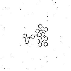 c1ccc(C2(c3ccccc3)c3ccccc3-c3cc(N(c4ccc(-n5c6ccccc6c6ccccc65)cc4)c4cccc5c4-c4ccccc4C54c5ccccc5-c5ccccc54)ccc32)cc1